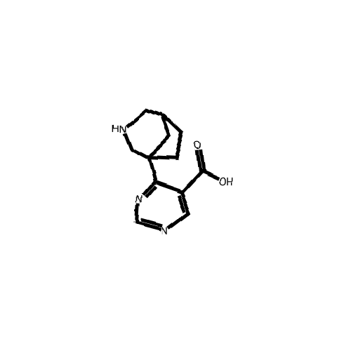 O=C(O)c1cn[c]nc1C12CCC(CNC1)C2